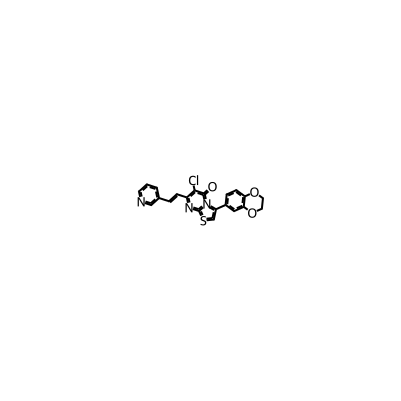 O=c1c(Cl)c(/C=C/c2cccnc2)nc2scc(-c3ccc4c(c3)OCCO4)n12